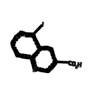 O=C(O)c1cnc2cccc(I)c2c1